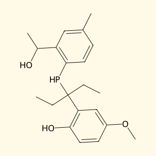 CCC(CC)(Pc1ccc(C)cc1C(C)O)c1cc(OC)ccc1O